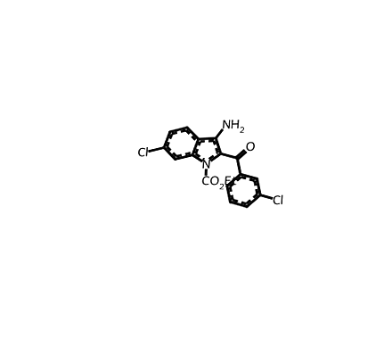 CCOC(=O)n1c(C(=O)c2cccc(Cl)c2)c(N)c2ccc(Cl)cc21